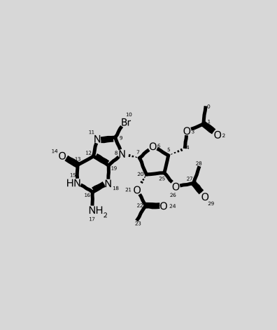 CC(=O)OC[C@H]1O[C@@H](n2c(Br)nc3c(=O)[nH]c(N)nc32)[C@@H](OC(C)=O)C1OC(C)=O